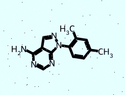 Cc1ccc(-n2ncc3c(N)ncnc32)c(C)c1